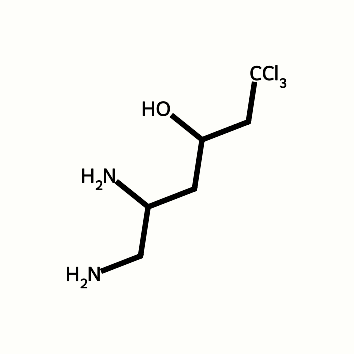 NCC(N)CC(O)CC(Cl)(Cl)Cl